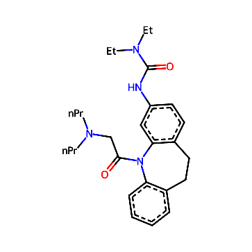 CCCN(CCC)CC(=O)N1c2ccccc2CCc2ccc(NC(=O)N(CC)CC)cc21